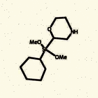 CO[Si](OC)(C1CCCCC1)C1CNCCO1